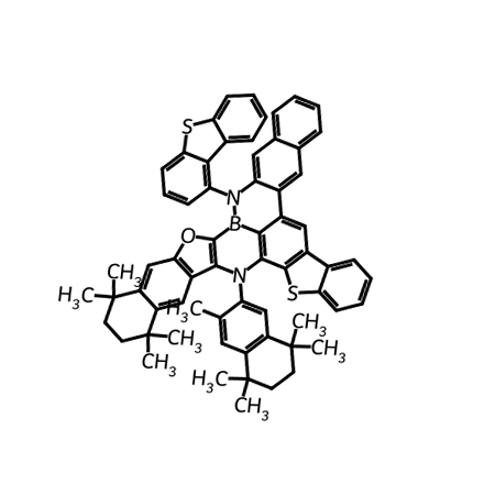 Cc1cc2c(cc1N1c3c(oc4cc5c(cc34)C(C)(C)CCC5(C)C)B3c4c(cc5c(sc6ccccc65)c41)-c1cc4ccccc4cc1N3c1cccc3sc4ccccc4c13)C(C)(C)CCC2(C)C